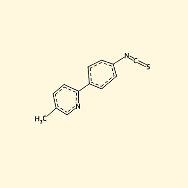 Cc1ccc(-c2ccc(N=C=S)cc2)nc1